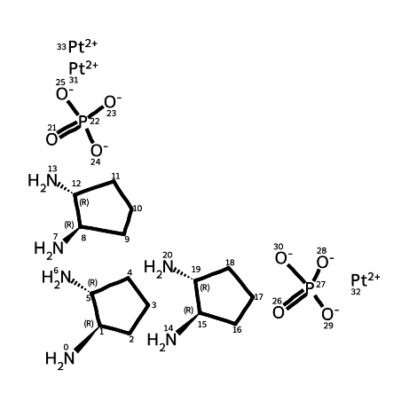 N[C@@H]1CCC[C@H]1N.N[C@@H]1CCC[C@H]1N.N[C@@H]1CCC[C@H]1N.O=P([O-])([O-])[O-].O=P([O-])([O-])[O-].[Pt+2].[Pt+2].[Pt+2]